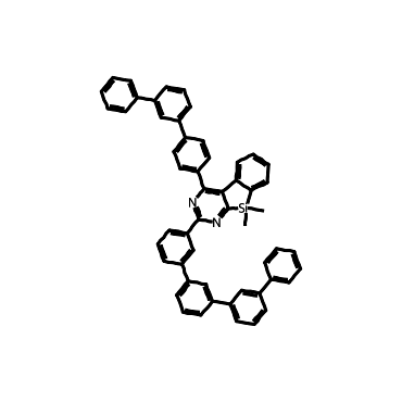 C[Si]1(C)c2ccccc2-c2c(-c3ccc(-c4cccc(-c5ccccc5)c4)cc3)nc(-c3cccc(-c4cccc(-c5cccc(-c6ccccc6)c5)c4)c3)nc21